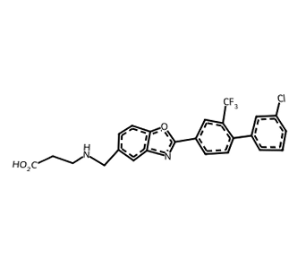 O=C(O)CCNCc1ccc2oc(-c3ccc(-c4cccc(Cl)c4)c(C(F)(F)F)c3)nc2c1